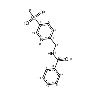 CS(=O)(=O)c1ccc(CNC(=O)c2ccccc2)nc1